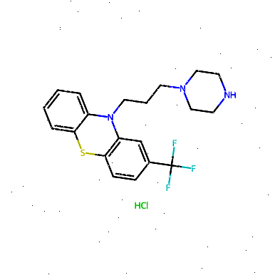 Cl.FC(F)(F)c1ccc2c(c1)N(CCCN1CCNCC1)c1ccccc1S2